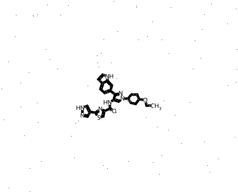 CCOC1CCC(n2cc(NC(=O)c3csc(-c4cn[nH]c4)n3)c(-c3ccc4cc[nH]c4c3)n2)CC1